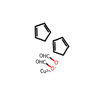 C1=CCC=C1.C1=CCC=C1.O=C[O-].O=C[O-].[Cu+2]